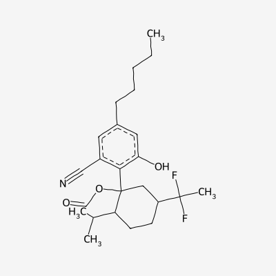 CCCCCc1cc(O)c(C2(OC=O)CC(C(C)(F)F)CCC2C(C)C)c(C#N)c1